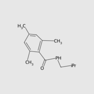 Cc1cc(C)c(C(=O)PCC(C)C)c(C)c1